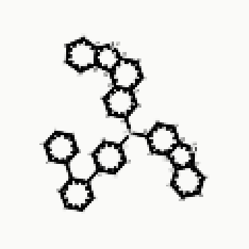 c1ccc(-c2ccccc2-c2ccc(N(c3ccc4c(ccc5sc6ccccc6c54)c3)c3ccc4oc5ccccc5c4c3)cc2)cc1